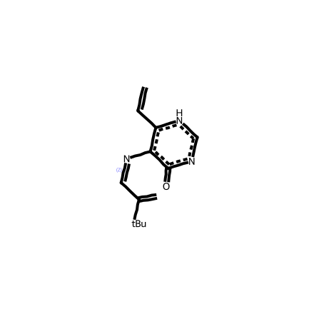 C=Cc1[nH]cnc(=O)c1/N=C\C(=C)C(C)(C)C